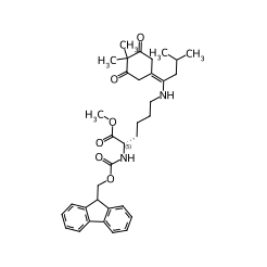 COC(=O)[C@H](CCCCNC(CC(C)C)=C1CC(=O)C(C)(C)C(=O)C1)NC(=O)OCC1c2ccccc2-c2ccccc21